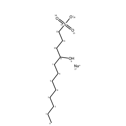 CCCCCCCCC(O)CCCS(=O)(=O)[O-].[Na+]